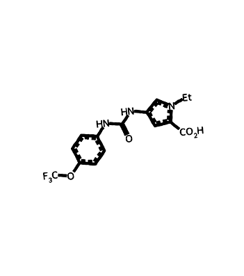 CCn1cc(NC(=O)Nc2ccc(OC(F)(F)F)cc2)cc1C(=O)O